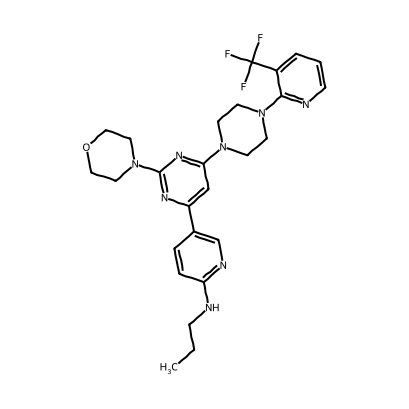 CCCNc1ccc(-c2cc(N3CCN(c4ncccc4C(F)(F)F)CC3)nc(N3CCOCC3)n2)cn1